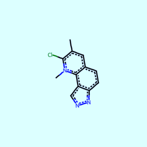 Cc1cc2ccc3nncc3c2n(C)c1Cl